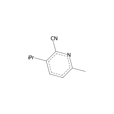 Cc1ccc(C(C)C)c(C#N)n1